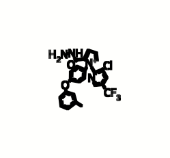 Cc1cccc(Oc2ccc([N+]3(c4ncc(C(F)(F)F)cc4Cl)C=CC=C3C(=O)NN)cc2)c1